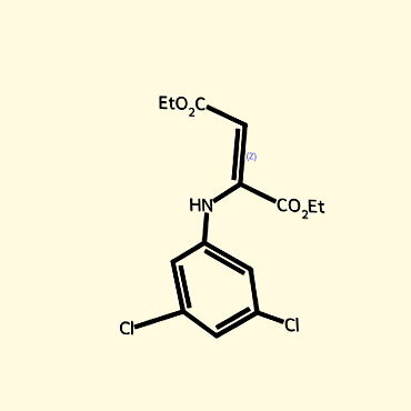 CCOC(=O)/C=C(\Nc1cc(Cl)cc(Cl)c1)C(=O)OCC